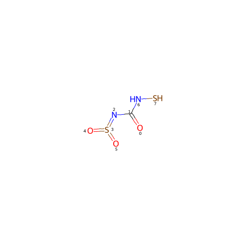 O=C(N=S(=O)=O)NS